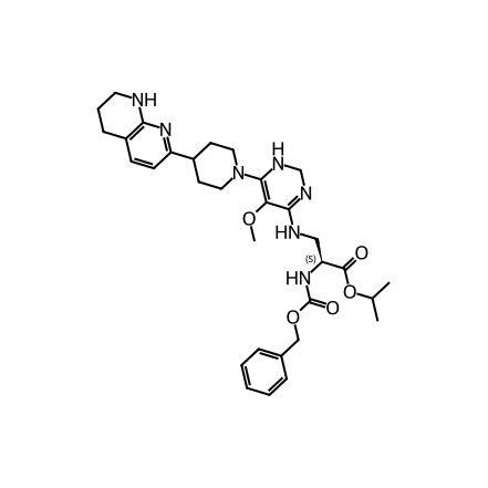 COC1=C(N2CCC(c3ccc4c(n3)NCCC4)CC2)NCN=C1NC[C@H](NC(=O)OCc1ccccc1)C(=O)OC(C)C